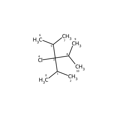 CC(C)C(Cl)(C(C)C)C(C)C